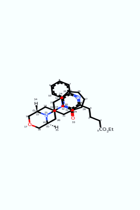 CCOC(=O)CCCc1nc2ccccc2n(C2C[C@H]3COC[C@H](C2)N3C2CC3CCCCC(C3)C2)c1=O